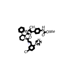 COC(=O)Nc1ccc(-c2nc([C@@H]3[C@H](c4ccccc4)CCCN3C(=O)/C=C/c3cc(Cl)ccc3-n3cnnn3)[nH]c2C)cc1